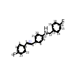 Fc1ccc(/C=C/c2ccc(NCc3ccc(F)cc3)cc2)cc1